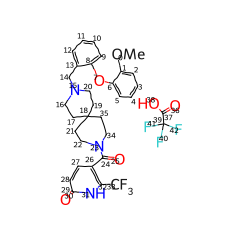 COc1ccccc1Oc1ccccc1CN1CCC2(CC1)CCN(C(=O)c1ccc(=O)[nH]c1C(F)(F)F)CC2.O=C(O)C(F)(F)F